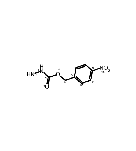 [NH]NC(=O)OCc1ccc([N+](=O)[O-])cc1